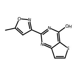 Cc1cc(-c2nc(O)c3sccc3n2)no1